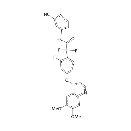 COc1cc2nccc(Oc3ccc(C(F)(F)C(=O)Nc4cccc(C#N)c4)c(F)c3)c2cc1OC